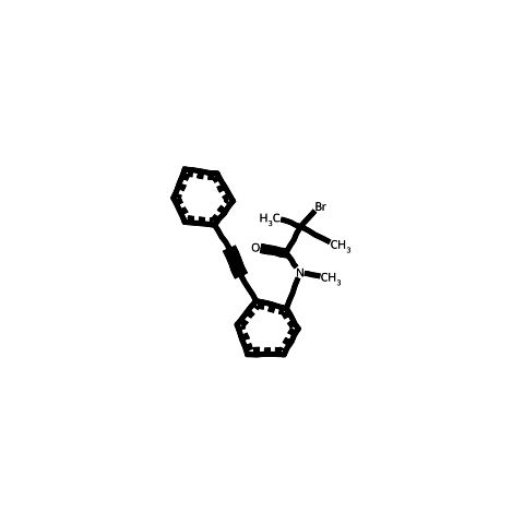 CN(C(=O)C(C)(C)Br)c1ccccc1C#Cc1ccccc1